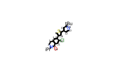 CC(C)N1CCc2cc(-c3csc(-c4ccnc(C(C)(C)C)c4)c3)c(Cl)cc2C1=O